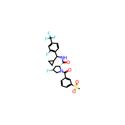 CS(=O)(=O)c1cccc(C(=O)N2C[C@@H](F)C[C@@H]2C(=O)NC(c2ccc(C(F)(F)F)cc2F)C2CC2)c1